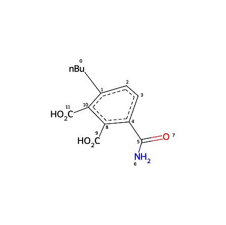 CCCCc1ccc(C(N)=O)c(C(=O)O)c1C(=O)O